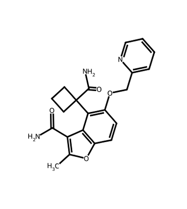 Cc1oc2ccc(OCc3ccccn3)c(C3(C(N)=O)CCC3)c2c1C(N)=O